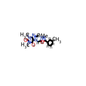 COc1nc2c(c(=O)n(C)c(=O)n2C)n1Cc1nnc(-c2cccc(C)c2)o1